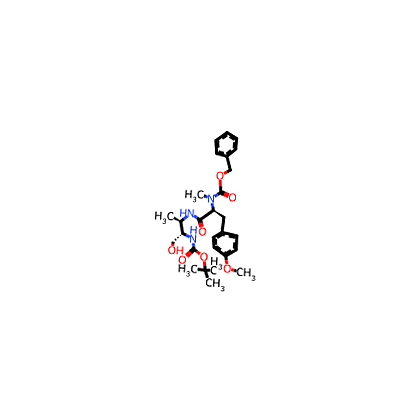 COc1ccc(C[C@@H](C(=O)N[C@H](C)[C@@H](CO)NC(=O)OC(C)(C)C)N(C)C(=O)OCc2ccccc2)cc1